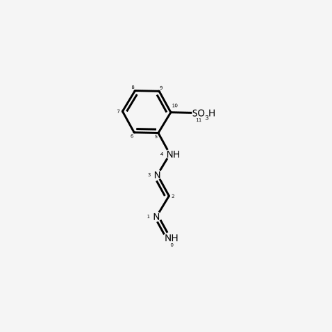 N=N/C=N/Nc1ccccc1S(=O)(=O)O